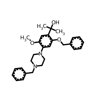 COc1cc(C(C)(C)O)c(OCc2ccccc2)cc1N1CCN(Cc2ccccc2)CC1